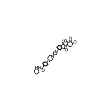 O=C1CCC(N2C(=O)c3ccc(N4CC(N5CCN(c6ccc(C(=O)NC7CCCCC7)cc6)CC5)C4)cc3C2=O)C(=O)N1